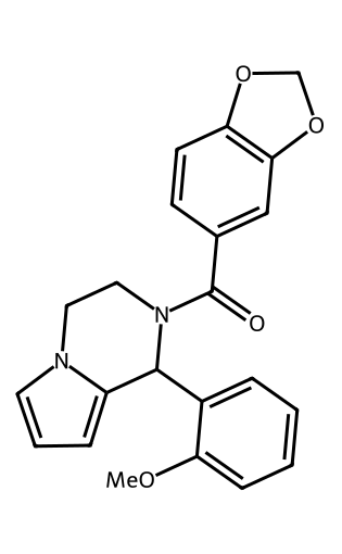 COc1ccccc1C1c2cccn2CCN1C(=O)c1ccc2c(c1)OCO2